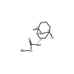 CC(C)(C)OC(=O)N[C@H]1C[C@H]2CCC[C@@H](C1)N2